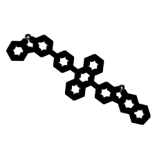 c1ccc2cc3c(cc2c1)oc1cc(-c2c4ccccc4c(-c4ccc(-c5ccc6oc7ccccc7c6c5)cc4)c4ccccc24)ccc13